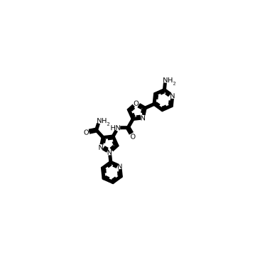 NC(=O)c1nn(-c2ccccn2)cc1NC(=O)c1coc(-c2ccnc(N)c2)n1